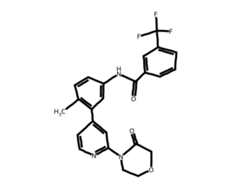 Cc1ccc(NC(=O)c2cccc(C(F)(F)F)c2)cc1-c1ccnc(N2CCOCC2=O)c1